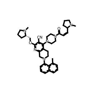 Cc1cccc2cccc(N3CCc4c(nc(OC[C@@H]5CCCN5C)c(C#N)c4N4CCN(C(=O)/C=C\C5CCCN5C)CC4)C3)c12